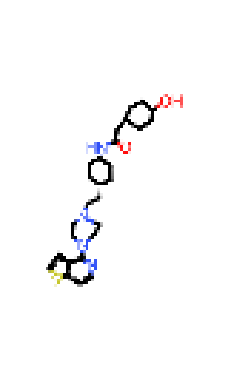 O=C(CC1CCC(O)CC1)N[C@H]1CC[C@H](CCN2CCN(c3nccc4sccc34)CC2)CC1